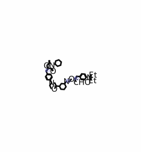 C=c1o/c(=C/c2ccc(N3CCOC(C4CCCC(/N=C/O/C(C=O)=C/c5ccc(N(CC)CC)cc5)C4)C3)cc2)c(=O)n1C1CCCCC1